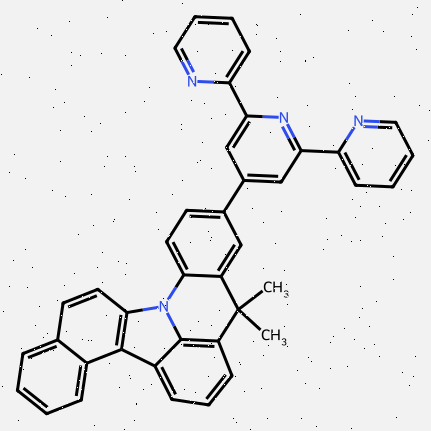 CC1(C)c2cc(-c3cc(-c4ccccn4)nc(-c4ccccn4)c3)ccc2-n2c3ccc4ccccc4c3c3cccc1c32